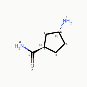 NC(=O)[C@@H]1CC[C@@H](N)C1